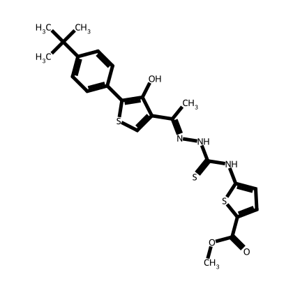 COC(=O)c1ccc(NC(=S)N/N=C(\C)c2csc(-c3ccc(C(C)(C)C)cc3)c2O)s1